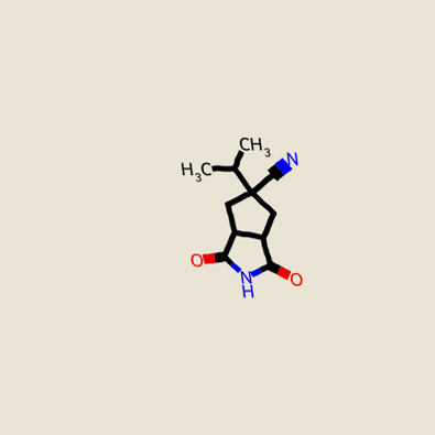 CC(C)C1(C#N)CC2C(=O)NC(=O)C2C1